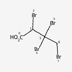 O=C(O)C(Br)C(Br)(Br)CBr